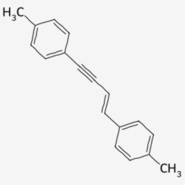 Cc1ccc(C#CC=Cc2ccc(C)cc2)cc1